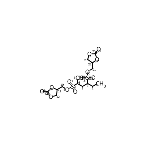 CCC(CC(C)S(=O)(=O)OCC1COC(=O)O1)S(=O)(=O)OCC1COC(=O)O1